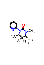 CC(=O)OC1N(c2ccccn2)C(=O)N(C)C(C(F)(F)F)C1(C)C